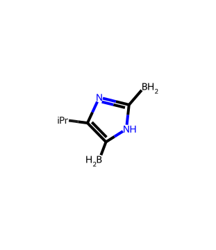 Bc1nc(C(C)C)c(B)[nH]1